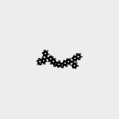 c1ccc(N(c2ccc3c(c2)OCCO3)c2ccc3cc4c(cc3c2)oc2cc3oc5cc6cc(N(c7ccccc7)c7ccc8c(c7)OCCO8)ccc6cc5c3cc24)cc1